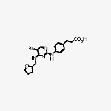 O=C(O)CCc1ccc(Nc2ncc(Br)c(NCC3CCCO3)n2)cc1